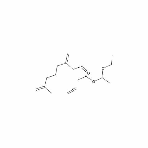 C=C.C=C(C)CCCC(=C)CC=O.CCOC(C)OCC